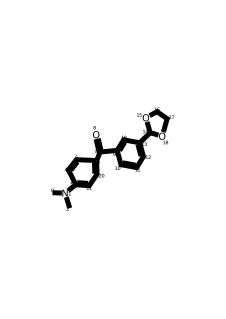 CN(C)c1ccc(C(=O)c2cccc(C3OCCO3)c2)cc1